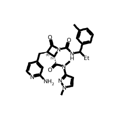 CCC(NC(=O)N1C(=O)[C@H](Cc2ccnc(N)c2)[C@H]1C(=O)N(C)c1ccn(C)n1)c1cccc(C)c1